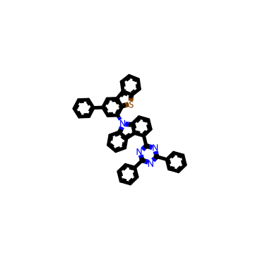 c1ccc(-c2cc(-n3c4ccccc4c4c(-c5nc(-c6ccccc6)nc(-c6ccccc6)n5)cccc43)c3sc4ccccc4c3c2)cc1